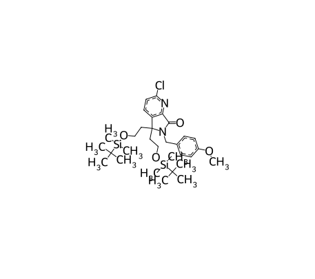 COc1ccc(CN2C(=O)c3nc(Cl)ccc3C2(CCO[Si](C)(C)C(C)(C)C)CCO[Si](C)(C)C(C)(C)C)cc1